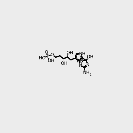 NC1=NC2(O)NN1c1c(C[C@H](O)[C@H](O)CCOP(=O)(O)O)c[nH]c12